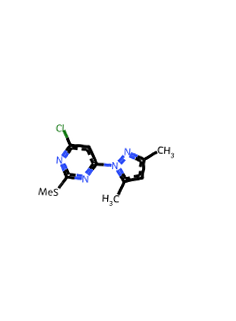 CSc1nc(Cl)cc(-n2nc(C)cc2C)n1